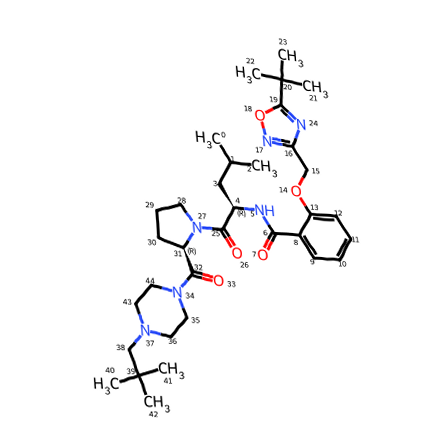 CC(C)C[C@@H](NC(=O)c1ccccc1OCc1noc(C(C)(C)C)n1)C(=O)N1CCC[C@@H]1C(=O)N1CCN(CC(C)(C)C)CC1